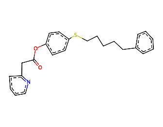 O=C(Cc1ccccn1)Oc1ccc(SCCCCCc2ccccc2)cc1